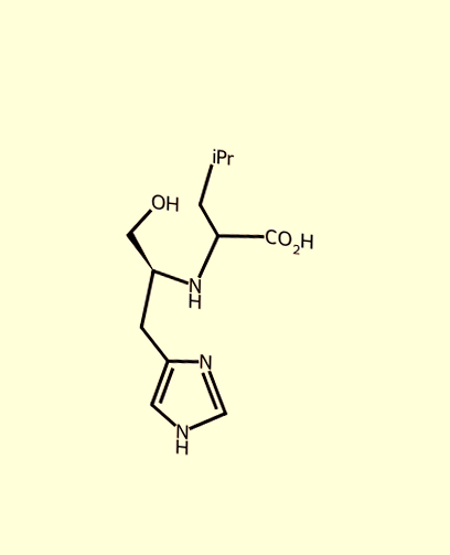 CC(C)CC(N[C@H](CO)Cc1c[nH]cn1)C(=O)O